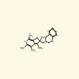 CC1=C(C)C2=C(N)C(C)(CN3CCc4ccccc4C3)CC2=C(C)O1